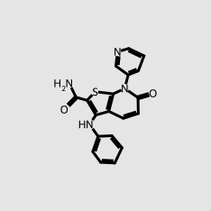 NC(=O)c1sc2c(ccc(=O)n2-c2cccnc2)c1Nc1ccccc1